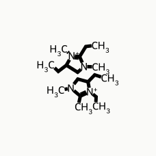 CCC1=[N+](C)C(CC)CN1C.CCC1CN(C)C(C)=[N+]1CC